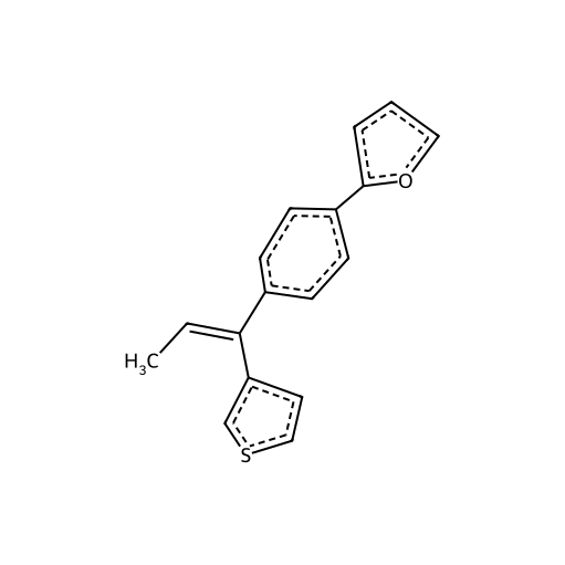 CC=C(c1ccc(-c2ccco2)cc1)c1ccsc1